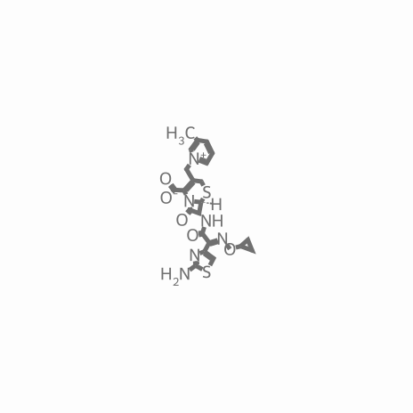 Cc1ccc[n+](CC2=C(C(=O)[O-])N3C(=O)[C@@H](NC(=O)C(=NOC4CC4)c4csc(N)n4)[C@@H]3SC2)c1